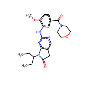 CCC(CC)N1C(=O)Cc2cnc(Nc3cc(C(=O)N4CCOCC4)ccc3OC)nc21